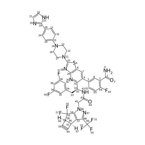 NC(=O)c1cc(-c2cc3sc(N4CCN(c5ccc(-c6ncc[nH]6)cc5)CC4)nc3nc2[C@H](Cc2cc(F)cc(F)c2)NC(=O)Cn2nc(C(F)(F)F)c3c2C(F)(F)[C@@H]2C#C[C@H]32)ccc1F